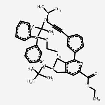 CCOC(=O)c1cc2c(c(-c3cccc(C#CCN(C)C)c3)n1)[C@@H](CCO[Si](c1ccccc1)(c1ccccc1)C(C)(C)C)N([S@@+]([O-])C(C)(C)C)C2